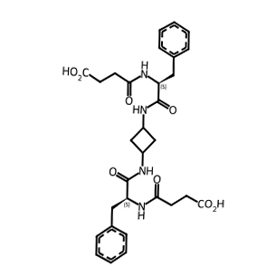 O=C(O)CCC(=O)N[C@@H](Cc1ccccc1)C(=O)NC1CC(NC(=O)[C@H](Cc2ccccc2)NC(=O)CCC(=O)O)C1